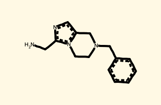 NCc1ncc2n1CCN(Cc1ccccc1)C2